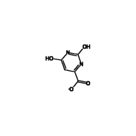 [O]C(=O)c1cc(O)nc(O)n1